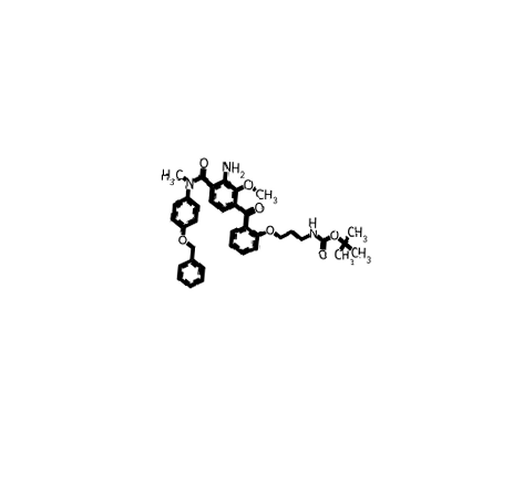 COc1c(C(=O)c2ccccc2OCCCNC(=O)OC(C)(C)C)ccc(C(=O)N(C)c2ccc(OCc3ccccc3)cc2)c1N